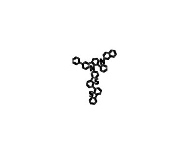 c1ccc(-c2ccc3c(c2)c2ccc4c(c5ccccc5n4-c4ccc5ccccc5c4)c2n3-c2ccc3sc4c(-c5cccc6c5sc5ccccc56)cccc4c3c2)cc1